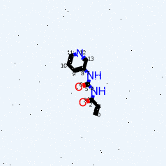 C=CC(=O)NC(=O)Nc1cccnc1